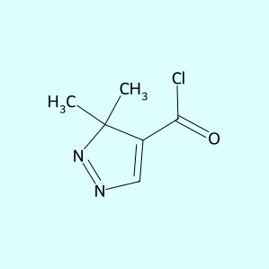 CC1(C)N=NC=C1C(=O)Cl